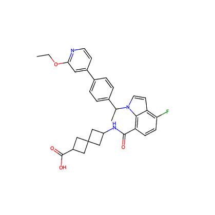 CCOc1cc(-c2ccc(C(C)n3ccc4c(F)ccc(C(=O)NC5CC6(C5)CC(C(=O)O)C6)c43)cc2)ccn1